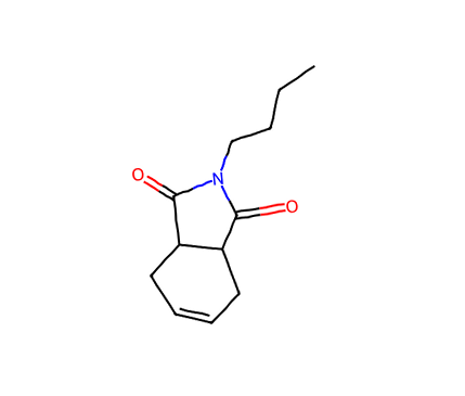 CCCCN1C(=O)C2CC=CCC2C1=O